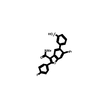 CCCc1cc2oc(-c3ccc(F)cc3)c(C(=O)NC)c2cc1-c1cccc(C(=O)O)c1